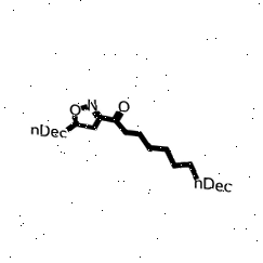 CCCCCCCCCCCCCCCCC(=O)C1=NOC(CCCCCCCCCC)C1